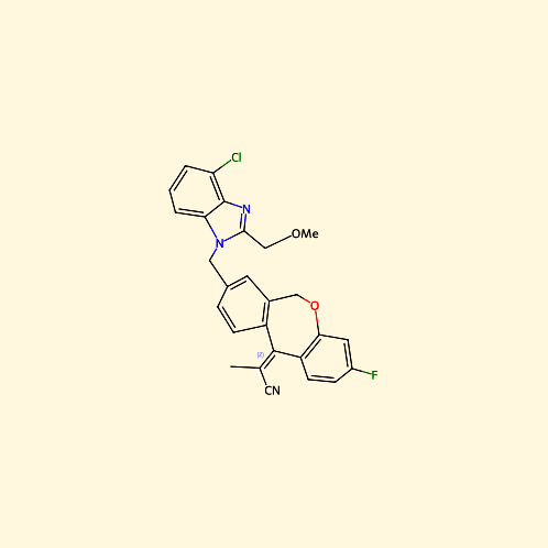 COCc1nc2c(Cl)cccc2n1Cc1ccc2c(c1)COc1cc(F)ccc1/C2=C(/C)C#N